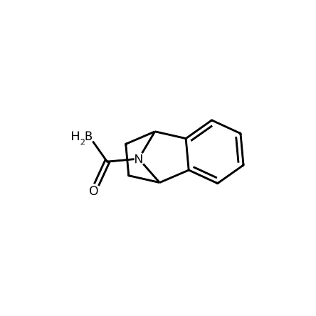 BC(=O)N1C2CCC1c1ccccc12